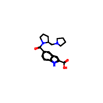 O=C(O)c1cc2cc(C(=O)N3CCC[C@H]3CN3CCCC3)ccc2[nH]1